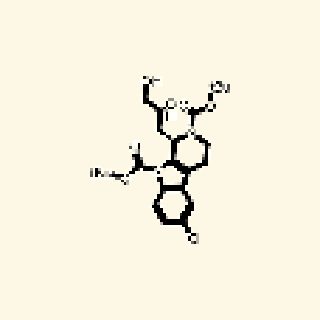 CC(C)(C)OC(=O)N1CCc2c(n(C(=O)OC(C)(C)C)c3ccc(Cl)cc23)[C@H]1C[C@H](O)CO